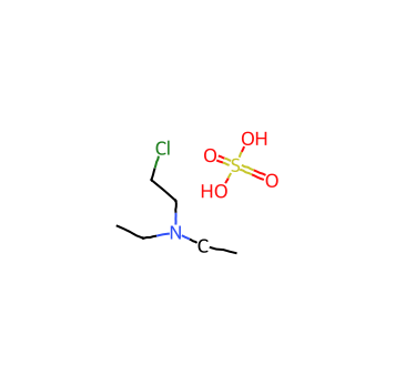 CCN(CC)CCCl.O=S(=O)(O)O